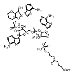 CCCCCCCCCCCCCC(=O)OCCSP(=O)(O)OC[C@H]1O[C@@H](n2cnc3c(N)ncnc32)C(OP(=O)(O)OC[C@H]2O[C@@H](n3cnc4c(N)ncnc43)C(OP(=O)(O)OC[C@]34CCCOC3C(O)[C@H](n3cnc5c(N)ncnc53)O4)C2O)C1OC